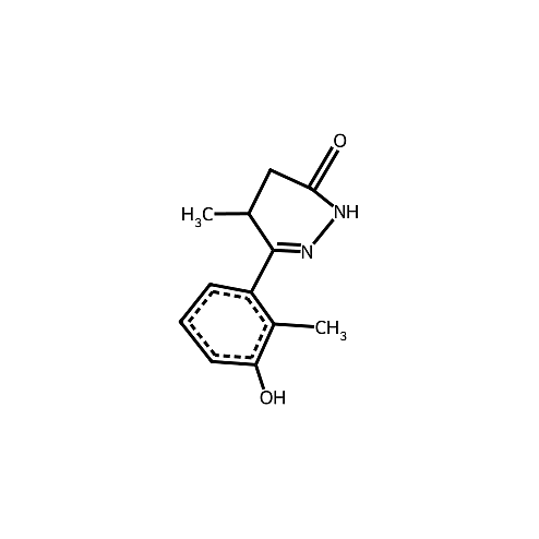 Cc1c(O)cccc1C1=NNC(=O)CC1C